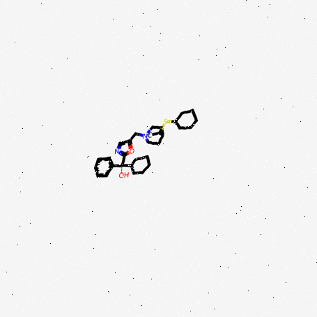 O[C@](c1ccccc1)(c1ncc(C[N+]23CCC(CC2)C(SC2CCCCC2)C3)o1)C1CCCCC1